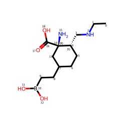 CCNC[C@@H]1CCC(CCB(O)O)C[C@]1(N)C(=O)O